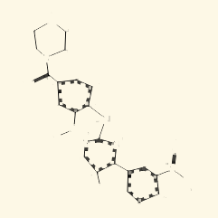 COc1cc(C(=O)N2CCOCC2)ccc1Nc1ncc(Cl)c(-c2cccc([N+](=O)[O-])c2)n1